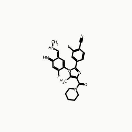 CN/C=C1/C=C(n2c(-c3ccc(C#N)c(I)c3)nc(C(=O)N3CCCCC3)c2C)C(F)=CC1=N